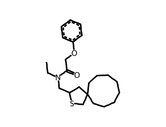 CCN(CC1CC2(CCCCCCCC2)CS1)C(=O)COc1ccccc1